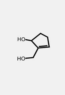 OCC1=CCCC1O